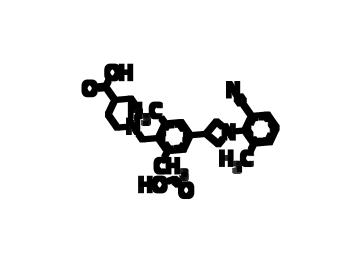 Cc1cc(C2CN(c3c(C)cccc3C#N)C2)cc(C)c1CN1CCC(C(=O)O)CC1.O=CO